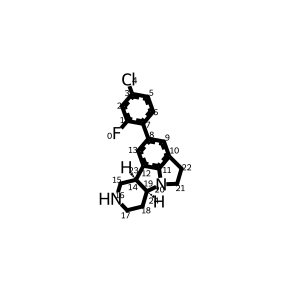 Fc1cc(Cl)ccc1-c1cc2c3c(c1)[C@@H]1CNCC[C@@H]1N3CC2